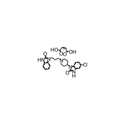 O=C(O)/C=C\C(=O)O.O=c1[nH]c2ccccc2n1CCCN1CCC(n2c(=O)[nH]c3cc(Cl)ccc32)CC1